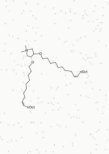 CCCCCCCC/C=C\CCCCCCCCOC1C[N+](C)(C)C[C@H]1OCCCCCCCC/C=C\CCCCCCCC